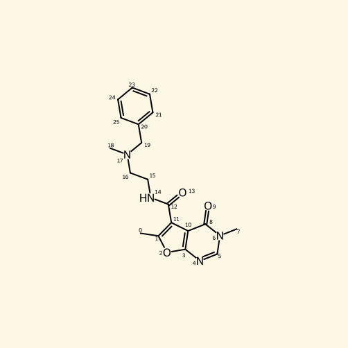 Cc1oc2ncn(C)c(=O)c2c1C(=O)NCCN(C)Cc1ccccc1